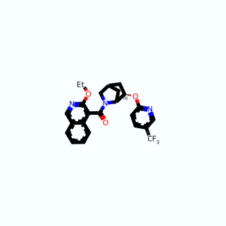 CCOc1ncc2ccccc2c1C(=O)N1CC2CC1[C@@H](Oc1ccc(C(F)(F)F)cn1)C2